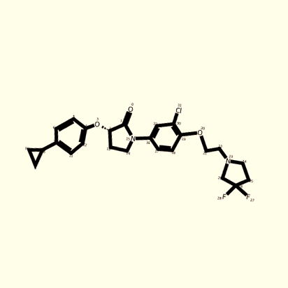 O=C1[C@@H](Oc2ccc(C3CC3)cc2)CCN1c1ccc(OCCN2CCC(F)(F)C2)c(Cl)c1